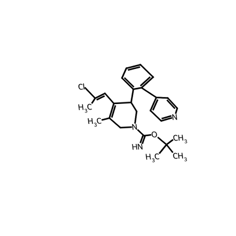 CC1=C(/C=C(\C)Cl)C(c2ccccc2-c2ccncc2)CN(C(=N)OC(C)(C)C)C1